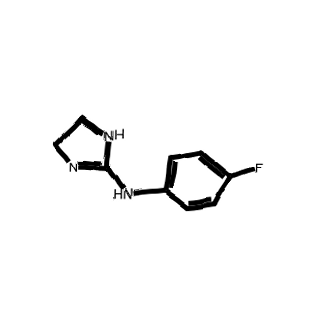 Fc1ccc(NC2=NCCN2)cc1